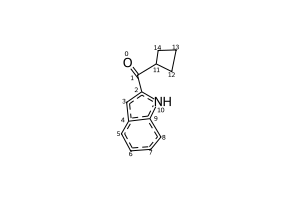 O=C(c1cc2ccccc2[nH]1)C1CCC1